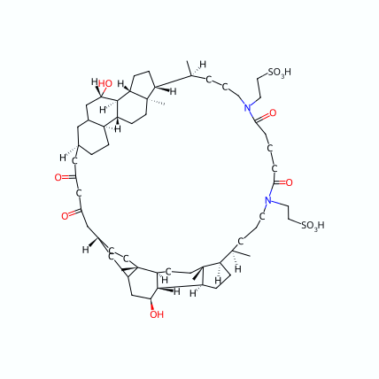 C[C@@H]1CCCN(CCS(=O)(=O)O)C(=O)CCCC(=O)N(CCS(=O)(=O)O)CCC[C@H](C)[C@H]2CC[C@H]3[C@@H]4[C@@H](O)CC5C[C@@H](CC[C@]5(C)[C@H]4CC[C@]23C)CC(=O)CC(=O)C[C@@H]2CC[C@@]3(C)C(C2)C[C@H](O)[C@H]2[C@@H]4CC[C@H]1[C@@]4(C)CC[C@@H]23